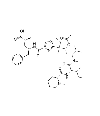 CCC(C)[C@H](NC(=O)[C@H]1CCCCN1C)C(=O)N(C)[C@H](C[C@@H](OC(C)=O)C(C)(CC)c1nc(C(=O)N[C@@H](Cc2ccccc2)C[C@H](C)C(=O)O)cs1)C(C)C